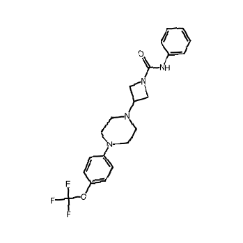 O=C(Nc1ccccc1)N1CC(N2CCN(c3ccc(OC(F)(F)F)cc3)CC2)C1